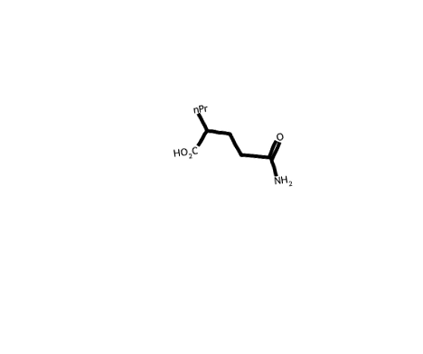 CCCC(CCC(N)=O)C(=O)O